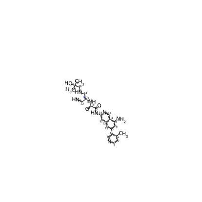 Cc1ccncc1-c1cc(N)c2cnc(NC(=O)C(=O)N/C(C=N)=C/NCC(C)(C)O)cc2c1